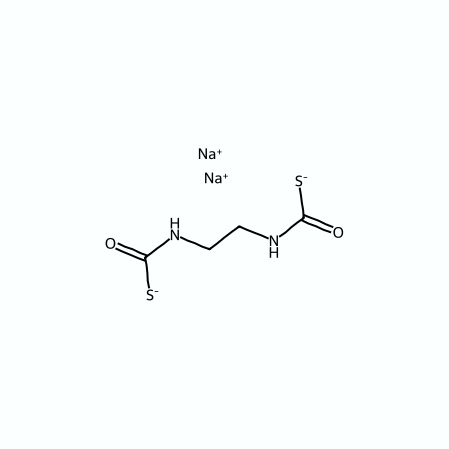 O=C([S-])NCCNC(=O)[S-].[Na+].[Na+]